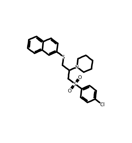 O=S(=O)(CC(CSc1ccc2ccccc2c1)N1CCCCC1)c1ccc(Cl)cc1